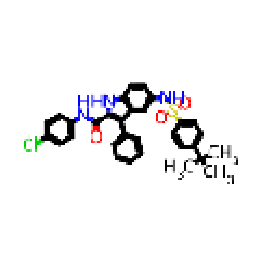 CC(C)(C)c1ccc(S(=O)(=O)Nc2ccc3[nH]c(C(=O)Nc4ccc(Cl)cc4)c(-c4ccccc4)c3c2)cc1